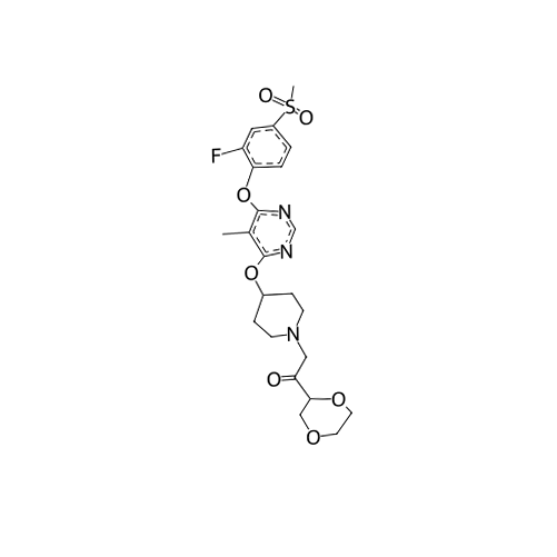 Cc1c(Oc2ccc(S(C)(=O)=O)cc2F)ncnc1OC1CCN(CC(=O)C2COCCO2)CC1